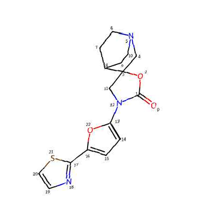 O=C1OC2(CN3CCC2CC3)CN1c1ccc(-c2nccs2)o1